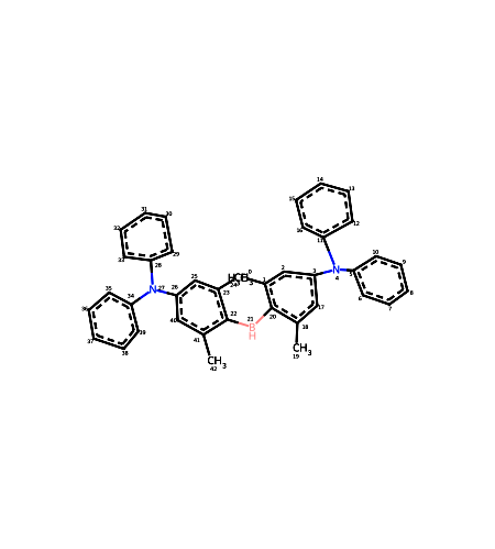 Cc1cc(N(c2ccccc2)c2ccccc2)cc(C)c1Bc1c(C)cc(N(c2ccccc2)c2ccccc2)cc1C